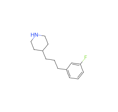 Fc1cccc(CCCC2CCNCC2)c1